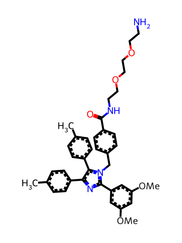 COc1cc(OC)cc(-c2nc(-c3ccc(C)cc3)c(-c3ccc(C)cc3)n2Cc2ccc(C(=O)NCCOCCOCCN)cc2)c1